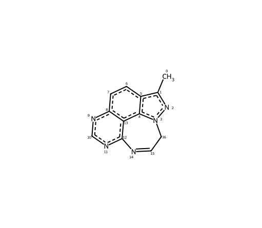 Cc1nn2c3c1ccc1ncnc(c13)N=CC2